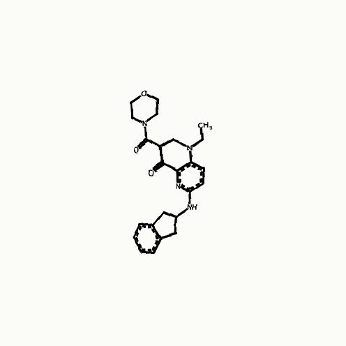 CCN1CC(C(=O)N2CCOCC2)C(=O)c2nc(NC3Cc4ccccc4C3)ccc21